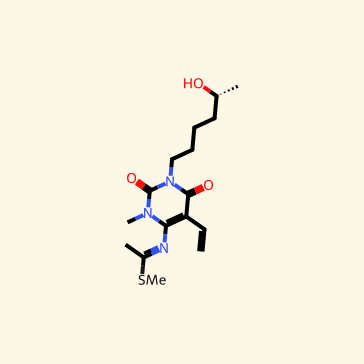 C=Cc1c(/N=C(\C)SC)n(C)c(=O)n(CCCC[C@@H](C)O)c1=O